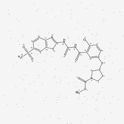 CC(C)(C)OC(=O)N1CCC(Oc2ccc(Cl)c(C(=O)NC(=O)Nc3nc4ccc(S(C)(=O)=O)cc4s3)c2)C1